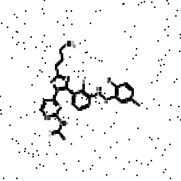 CC(=O)Nc1nccc(-c2sc(CCCN)nc2-c2cccc(NSc3cc(F)ccc3F)c2F)n1